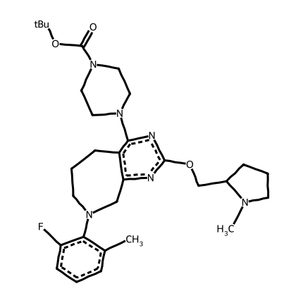 Cc1cccc(F)c1N1CCCc2c(nc(OCC3CCCN3C)nc2N2CCN(C(=O)OC(C)(C)C)CC2)C1